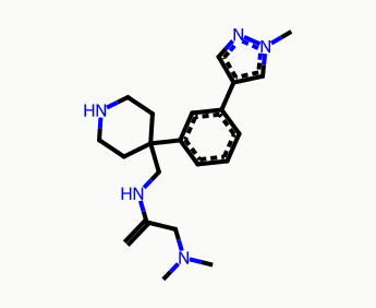 C=C(CN(C)C)NCC1(c2cccc(-c3cnn(C)c3)c2)CCNCC1